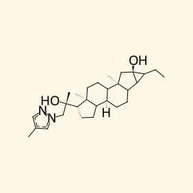 CCC1C2C3CC[C@@H]4C(CC[C@@]5(C)C4CC[C@@H]5[C@@](C)(O)Cn4cc(C)cn4)[C@@]3(C)C[C@]12O